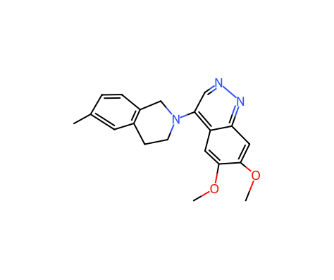 COc1cc2nncc(N3CCc4cc(C)ccc4C3)c2cc1OC